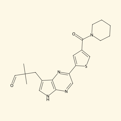 CC(C)(C=O)Cc1c[nH]c2ncc(-c3cc(C(=O)N4CCCCC4)cs3)nc12